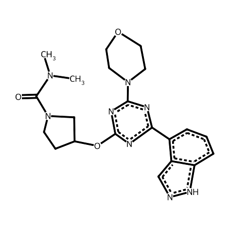 CN(C)C(=O)N1CCC(Oc2nc(-c3cccc4[nH]ncc34)nc(N3CCOCC3)n2)C1